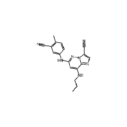 CCCNc1cc(Nc2ccc(C)c(C#N)c2)nn2c(C#N)cnc12